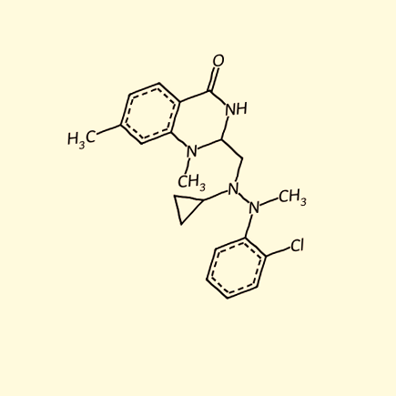 Cc1ccc2c(c1)N(C)C(CN(C1CC1)N(C)c1ccccc1Cl)NC2=O